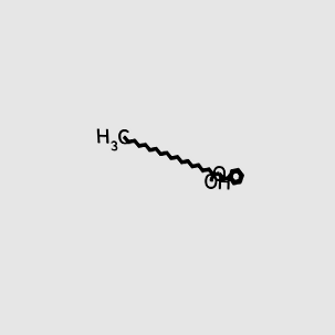 CCCCCCCCCCCCCCCCCC(O)OCc1ccccc1